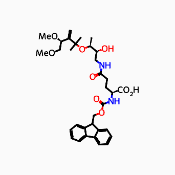 C=C([C@@H](COC)OC)C(C)(C)O[C@@H](C)[C@@H](O)CNC(=O)CC[C@H](NC(=O)OCC1c2ccccc2-c2ccccc21)C(=O)O